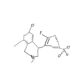 Cc1cc(Cl)cc2c1CN(C)CC2c1cc(S(=O)(=O)Cl)ccc1F